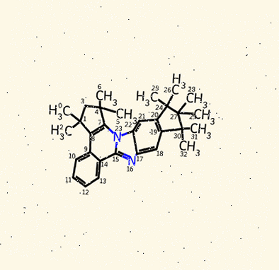 CC1(C)CC(C)(C)c2c1c1ccccc1c1nc3cc4c(cc3n21)C(C)(C)C(C)(C)C4(C)C